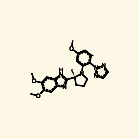 COc1c[c]c(-n2nccn2)c(N2CCC[C@@]2(C)c2nc3cc(OC)c(OC)cc3[nH]2)c1